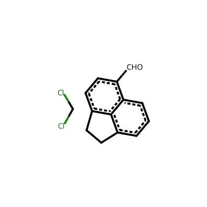 ClCCl.O=Cc1ccc2c3c(cccc13)CC2